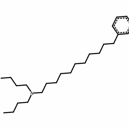 CCCCN(CCCC)CCCCCCCCCCCc1ccccc1